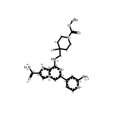 CC(C)(C)OC(=O)N1CCC(F)(CNc2nc(-c3ccnc(N)c3)cn3cc(C(N)=O)nc23)CC1